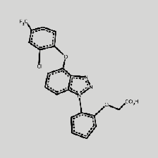 O=C(O)COc1ccccc1-n1nnc2c(Oc3ccc(C(F)(F)F)cc3Cl)cccc21